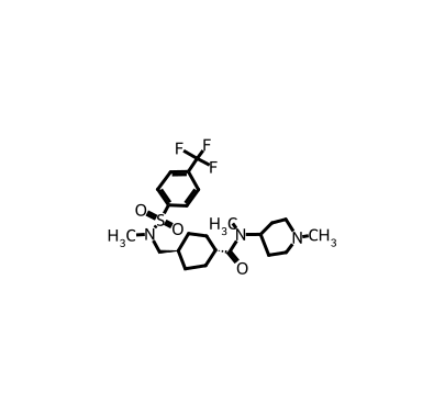 CN1CCC(N(C)C(=O)[C@H]2CC[C@H](CN(C)S(=O)(=O)c3ccc(C(F)(F)F)cc3)CC2)CC1